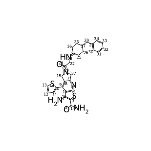 NC(=O)c1sc2nc3c(c(-c4cccs4)c2c1N)CN(C(=O)CNC1CCC(Cc2ccccc2)CC1)C3